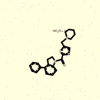 O=C(O)[C@@H]1CCCCN1Cc1cnc(C(=O)N2CCc3c(-c4ccccc4)cccc32)s1